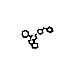 O=C(C1CCCCCC1)N1CCC2=CCCCC2=C1CCN1CCC(Cc2ccccc2)CC1